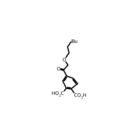 CCC(C)CCOCC(=O)c1ccc(C(=O)O)c(C(=O)O)c1